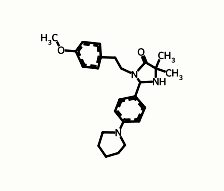 COc1ccc(CCN2C(=O)C(C)(C)NC2c2ccc(N3CCCCC3)cc2)cc1